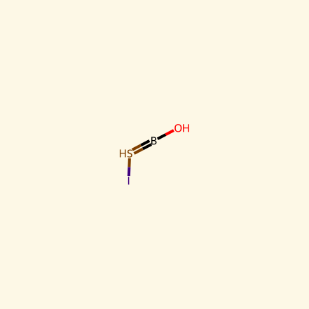 O/B=[SH]/I